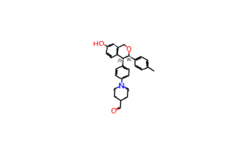 Cc1ccc([C@@H]2OCc3cc(O)ccc3[C@@H]2c2ccc(N3CCC(C=O)CC3)cc2)cc1